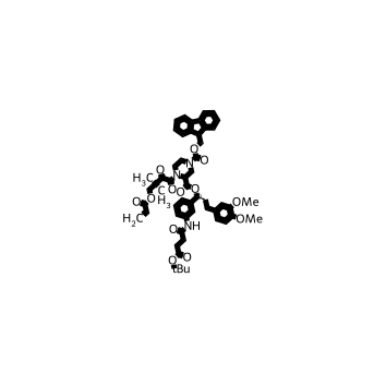 C=CC(=O)OCC(C)(C)C(=O)C(=O)N1CCN(C(=O)OCC2c3ccccc3-c3ccccc32)CC1C(=O)O[C@H](CCc1ccc(OC)c(OC)c1)c1cccc(NC(=O)CCC(=O)OC(C)(C)C)c1